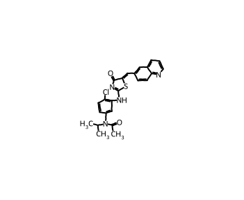 CC(=O)N(c1ccc(Cl)c(NC2=NC(=O)/C(=C/c3ccc4ncccc4c3)S2)c1)C(C)C